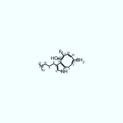 B/C1=C/Cc2[nH]cc(CCCN(C)C)c2/C(O)=C(/F)C=C1